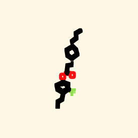 CCCC[C@H]1CC[C@H](CCC(=O)Oc2ccc(CCC)c(F)c2)CC1